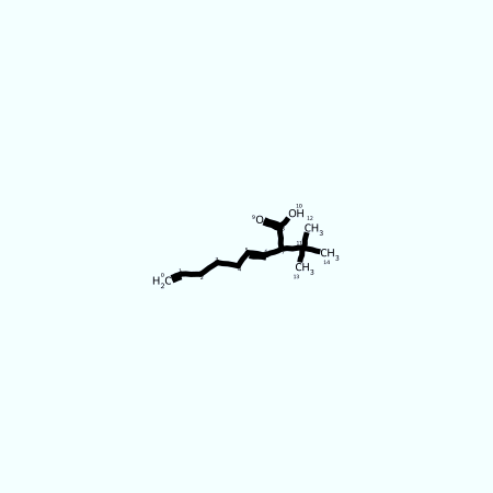 C=CCCC/C=C/C(C(=O)O)C(C)(C)C